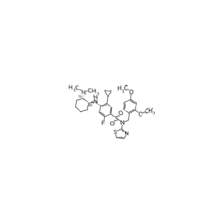 COc1ccc(CN(c2nccs2)S(=O)(=O)c2cc(C3CC3)c(N[C@H]3CCCC[C@@H]3N(C)C)cc2F)c(OC)c1